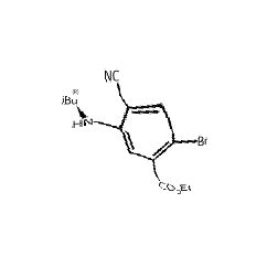 CCOC(=O)c1cc(N[C@H](C)CC)c(C#N)cc1Br